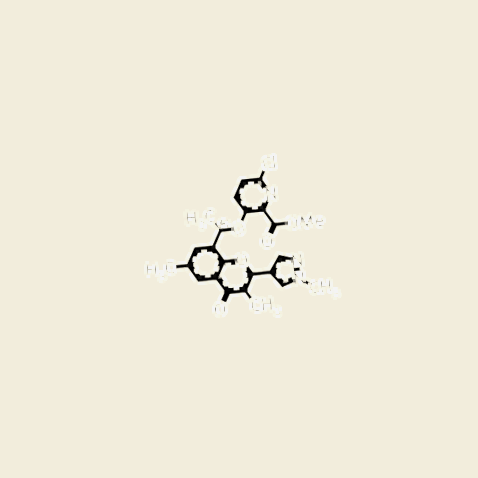 COC(=O)c1nc(Cl)ccc1O[C@H](C)c1cc(C)cc2c(=O)c(C)c(-c3cnn(C)c3)oc12